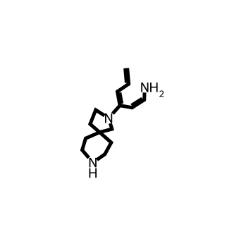 C=C/C=C(\C=C/N)N1CCC2(CCNCC2)C1